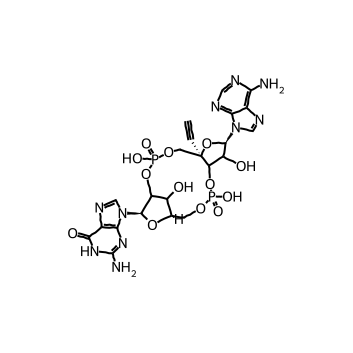 C#C[C@@]12COP(=O)(O)OC3C(O)[C@@H](COP(=O)(O)OC1C(O)[C@H](n1cnc4c(N)ncnc41)O2)O[C@H]3n1cnc2c(=O)[nH]c(N)nc21